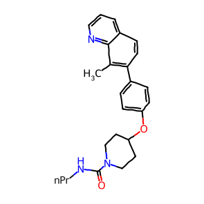 CCCNC(=O)N1CCC(Oc2ccc(-c3ccc4cccnc4c3C)cc2)CC1